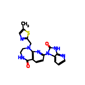 Cc1cnc(CN2CCNC(=O)c3ccc(-n4c(=O)[nH]c5ncccc54)nc32)s1